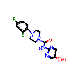 O=C(Nc1ncc(O)cn1)N1CCN(c2ccc(F)cc2F)CC1